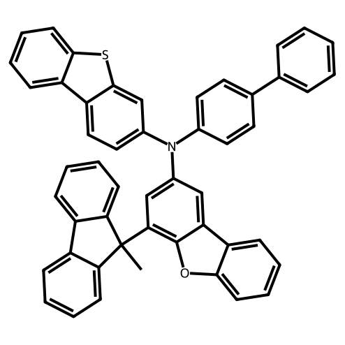 CC1(c2cc(N(c3ccc(-c4ccccc4)cc3)c3ccc4c(c3)sc3ccccc34)cc3c2oc2ccccc23)c2ccccc2-c2ccccc21